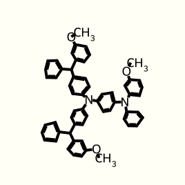 COc1cccc(C(c2ccccc2)c2ccc(N(c3ccc(C(c4ccccc4)c4cccc(OC)c4)cc3)c3ccc(N(c4ccccc4)c4cccc(OC)c4)cc3)cc2)c1